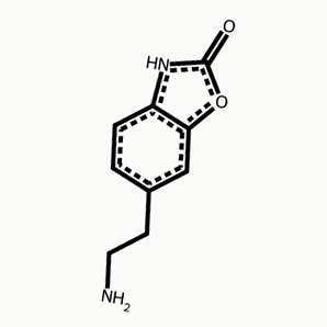 NCCc1ccc2[nH]c(=O)oc2c1